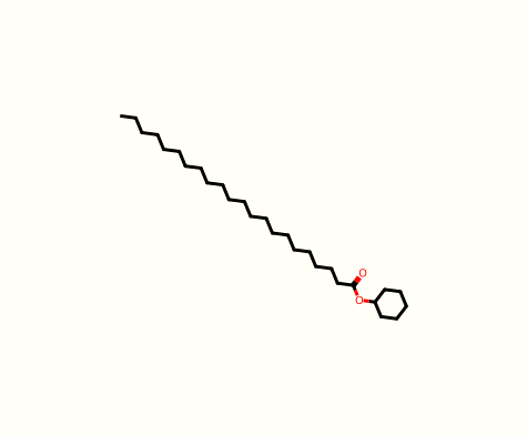 CCCCCCCCCCCCCCCCCCCCCC(=O)OC1CCCCC1